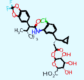 C[C@H](C(C(=O)Nc1cc([C@@H](CC(=O)OC2O[C@H](C(=O)O)[C@@H](O)[C@H](O)[C@H]2O)C2CC2)ccc1Cl)c1ccc2c(c1)OC(F)(F)O2)C(F)(F)F